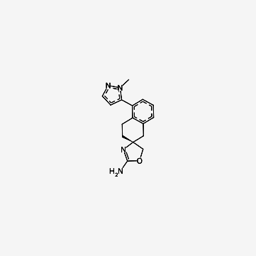 Cn1nccc1-c1cccc2c1CC[C@]1(COC(N)=N1)C2